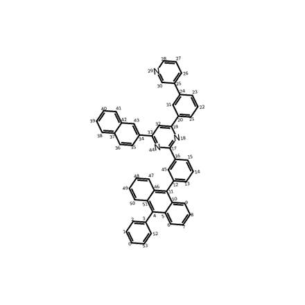 c1ccc(-c2c3ccccc3c(-c3cccc(-c4nc(-c5cccc(-c6cccnc6)c5)cc(-c5ccc6ccccc6c5)n4)c3)c3ccccc23)cc1